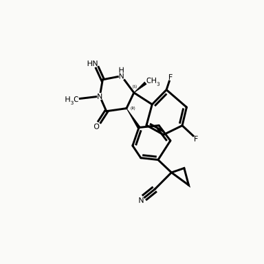 CN1C(=N)N[C@](C)(c2ccc(F)cc2F)[C@@H](c2ccc(C3(C#N)CC3)cc2)C1=O